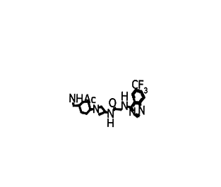 CC(=O)NCC1CCC(N2CC(NC(=O)CNc3ncnc4ccc(C(F)(F)F)cc34)C2)CC1